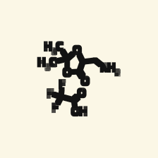 CC1(C)OC(=O)C(CN)O1.O=C(O)C(F)(F)F